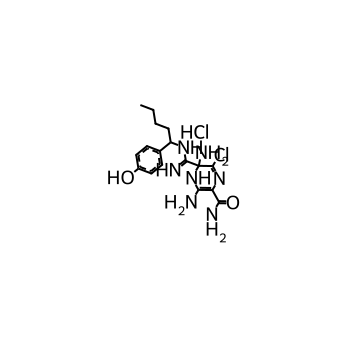 CCCCC(NC(=N)C1(N)NC(N)=C(C(N)=O)N=C1Cl)c1ccc(O)cc1.Cl